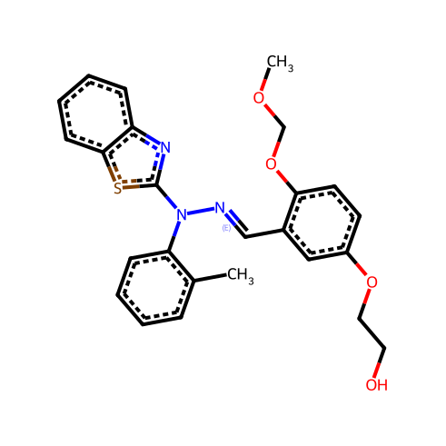 COCOc1ccc(OCCO)cc1/C=N/N(c1nc2ccccc2s1)c1ccccc1C